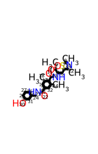 COC(=O)C(=Cc1sc(C)nc1C)NC(=O)c1c(C)cc(C(=O)NCc2cccc(O)c2)cc1C